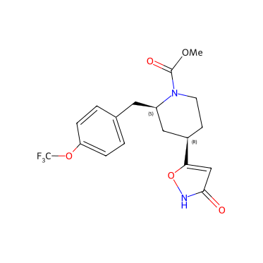 COC(=O)N1CC[C@@H](c2cc(=O)[nH]o2)C[C@H]1Cc1ccc(OC(F)(F)F)cc1